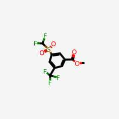 COC(=O)c1cc(C(F)(F)F)cc(S(=O)(=O)C(F)F)c1